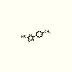 Cc1ccc(-c2noc(S)n2)cc1